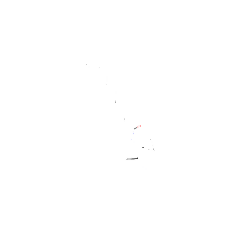 C=C(N)C1(NC(=O)CCCCCCCCCCCCCCC)CC1